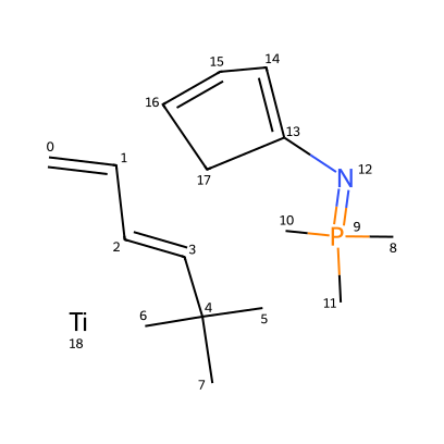 C=CC=CC(C)(C)C.CP(C)(C)=NC1=CC=CC1.[Ti]